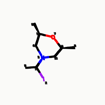 CC(I)N1C[C@@H](C)O[C@@H](C)C1